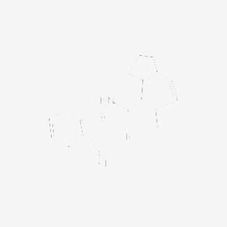 O=C(O)Cc1ccc2c(c1CNS(=O)(=O)c1ccccc1OC(F)(F)F)CCC2